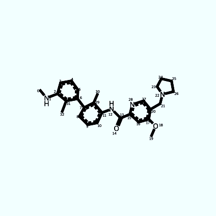 CNc1cccc(-c2cccc(NC(=O)c3cc(OC)c(CN4CCCC4)cn3)c2C)c1C